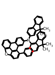 CC1(C)c2ccccc2-c2ccc(N(c3ccc4c(c3)c3c(-c5ccccc5)ccc5oc6cccc4c6c53)c3cccc4c3-c3ccccc3C4(C)C)cc21